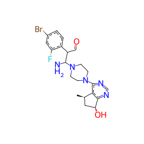 C[C@@H]1C[C@H](O)c2ncnc(N3CCN(C(N)C(C=O)c4ccc(Br)cc4F)CC3)c21